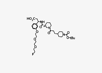 CC(C)(C)OC(=O)N1CCC(CCC(=O)N2CCC[C@@H](C(=O)NC(CC(=O)O)c3cccc(OCCOCCOCCF)c3)C2)CC1